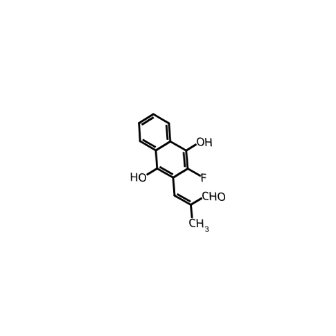 C/C(C=O)=C/c1c(F)c(O)c2ccccc2c1O